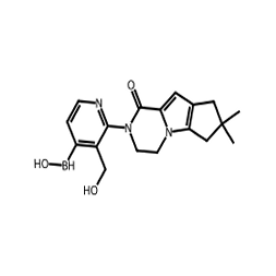 CC1(C)Cc2cc3n(c2C1)CCN(c1nccc(BO)c1CO)C3=O